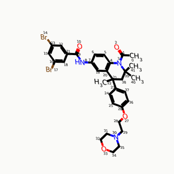 CC(=O)N1c2ccc(NC(=O)c3cc(Br)cc(Br)c3)cc2C(C)(c2ccc(OCCN3CCOCC3)cc2)CC1(C)C